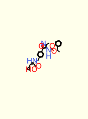 Cc1noc(-c2ccc(CN[C@H](CC3CC3)C(=O)O)cc2)c1NC(=O)OC(C)c1ccccc1